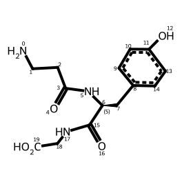 NCCC(=O)N[C@@H](Cc1ccc(O)cc1)C(=O)NCC(=O)O